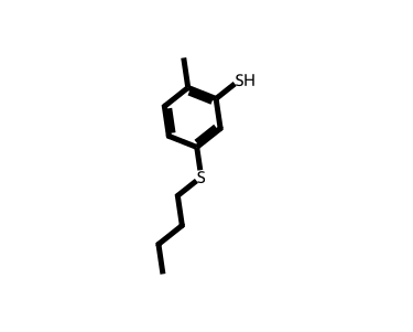 CCCCSc1ccc(C)c(S)c1